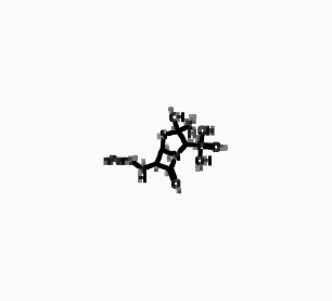 CCCCCNC1C(=O)N2C1SC(C)(C)C2P(=O)(O)O